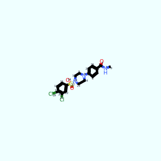 CNC(=O)c1ccc(N2CCN(S(=O)(=O)c3ccc(Cl)c(Cl)c3)CC2)cc1